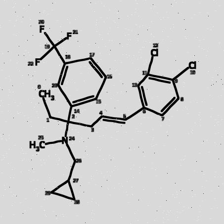 CCC(CC=Cc1ccc(Cl)c(Cl)c1)(c1cccc(C(F)(F)F)c1)N(C)CC1CC1